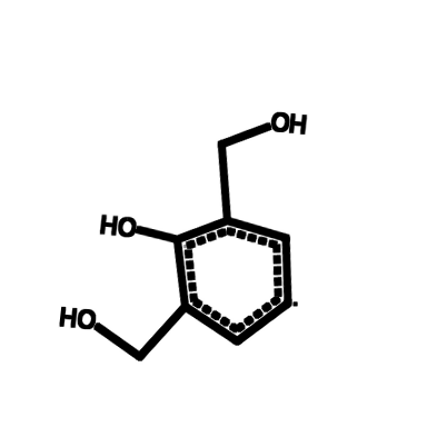 OCc1c[c]cc(CO)c1O